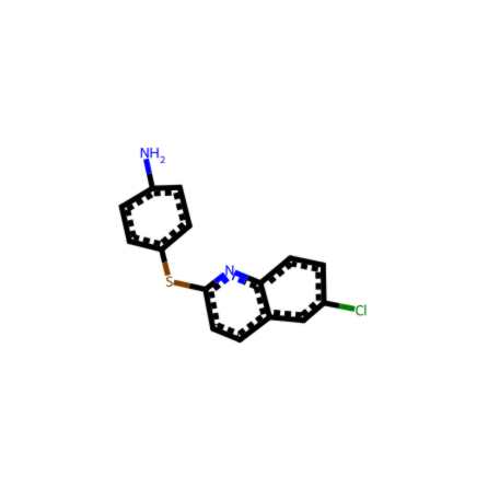 Nc1ccc(Sc2ccc3cc(Cl)ccc3n2)cc1